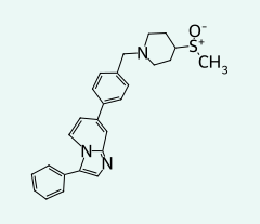 C[S+]([O-])C1CCN(Cc2ccc(-c3ccn4c(-c5ccccc5)cnc4c3)cc2)CC1